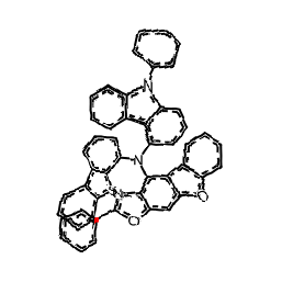 c1ccc(-c2nc3c(N(c4cccc5c4sc4ccccc45)c4cccc5c4c4ccccc4n5-c4ccccc4)c4c(cc3o2)oc2ccccc24)cc1